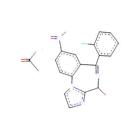 CC(=O)O.O=[N+]([O-])c1ccc2c(c1)C(c1ccccc1F)=NC(O)c1nccn1-2